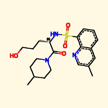 Cc1cnc2c(S(=O)(=O)N[C@@H](CCCO)C(=O)N3CCC(C)CC3)cccc2c1